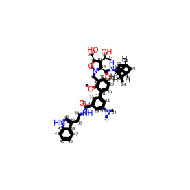 COc1c(CN2O[C@@H](CO)[C@@H]([C@H](C)O)[C@H]2C(=O)N[C@H]2C[C@H]3C[C@@H]([C@@H]2C)C3(C)C)cccc1-c1cc(C(=O)NCCc2c[nH]c3ccccc23)cc(N(C)C)c1